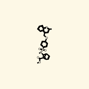 COC(=O)C1C2C=CC(C2)C1N(C)S(=O)(=O)c1ccc(OCc2cc(C)nc3ccccc23)cc1